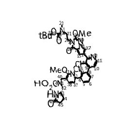 COc1nc(-c2cccc(-c3ccnc(-c4cc5c(=O)n(CCN(C)C(=O)OC(C)(C)C)c(OC)nn5c4)c3Cl)c2Cl)ccc1CN(C[C@@H]1CCC(=O)N1)C(=O)O